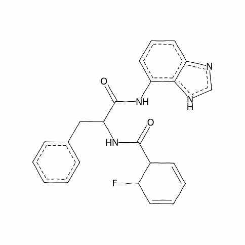 O=C(Nc1cccc2nc[nH]c12)C(Cc1ccccc1)NC(=O)C1C=CC=CC1F